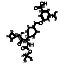 CN(C)c1cc(OCC2CCC([C@H](NC(=O)OC(C)(C)C)C(=O)N(C)C3CCC3)CC2)cc(C(=O)O)c1